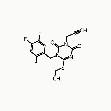 C#CCn1c(=O)nc(SCC)n(Cc2cc(F)c(F)cc2F)c1=O